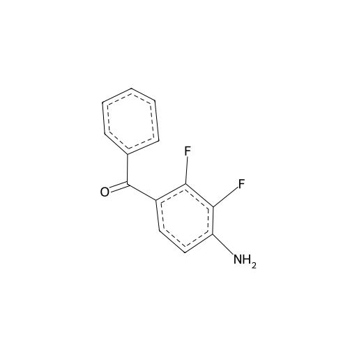 Nc1ccc(C(=O)c2ccccc2)c(F)c1F